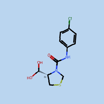 O=C(Nc1ccc(Cl)cc1)N1CSC[C@@H]1C(O)O